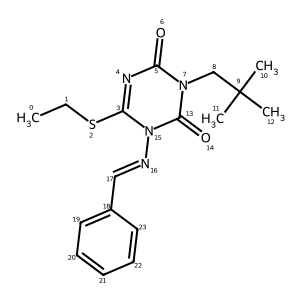 CCSc1nc(=O)n(CC(C)(C)C)c(=O)n1N=Cc1ccccc1